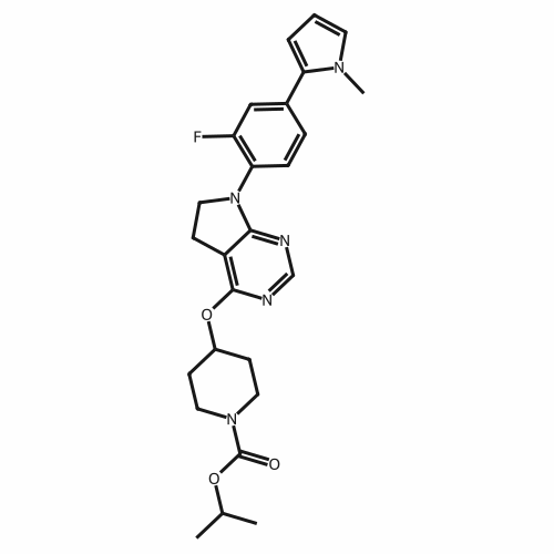 CC(C)OC(=O)N1CCC(Oc2ncnc3c2CCN3c2ccc(-c3cccn3C)cc2F)CC1